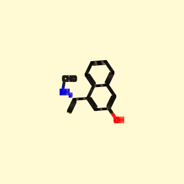 C=Cc1cc(O)cc2ccccc12.NC=O